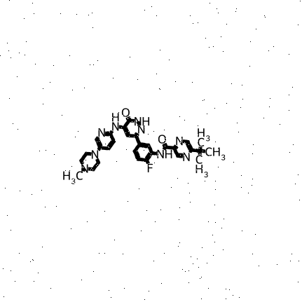 CN1CCN(c2ccc(Nc3cc(-c4ccc(F)c(NC(=O)c5cnc(C(C)(C)C)cn5)c4)n[nH]c3=O)nc2)CC1